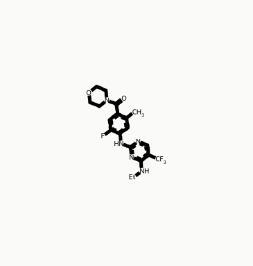 CCNc1nc(Nc2cc(C)c(C(=O)N3CCOCC3)cc2F)ncc1C(F)(F)F